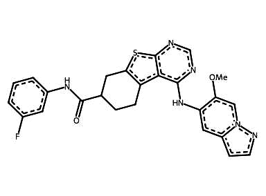 COc1cn2nccc2cc1Nc1ncnc2sc3c(c12)CCC(C(=O)Nc1cccc(F)c1)C3